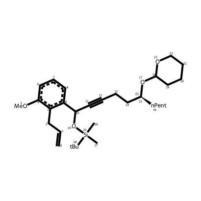 C=CCc1c(OC)cccc1C(C#CCC[C@H](CCCCC)OC1CCCCO1)O[Si](C)(C)C(C)(C)C